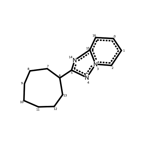 c1ccn2nc(C3CCCCCCC3)nc2c1